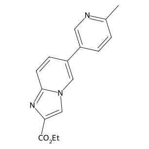 CCOC(=O)c1cn2cc(-c3ccc(C)nc3)ccc2n1